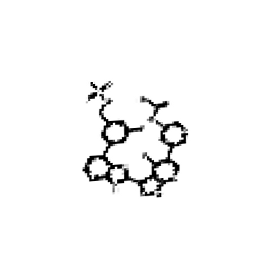 CCCCC(=O)Nc1cncc(-c2cnc3[nH]nc(-c4nc5c(-c6cc(F)cc(CNS(C)(=O)=O)c6)ccnc5[nH]4)c3c2F)c1